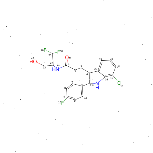 O=C(CCc1c(-c2ccc(F)cc2)[nH]c2c(Cl)cccc12)NC(CO)C(F)F